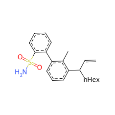 C=CC(CCCCCC)c1cccc(-c2ccccc2S(N)(=O)=O)c1C